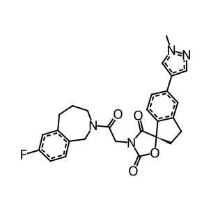 Cn1cc(-c2ccc3c(c2)CC[C@]32OC(=O)N(CC(=O)N3CCCc4cc(F)ccc4C3)C2=O)cn1